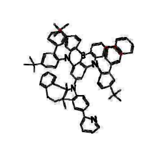 CC(C)(C)c1ccc(N2c3cc(-c4ccccc4)ccc3B3c4ccc(C(C)(C)C)cc4N(c4ccc(C(C)(C)C)cc4-c4ccccc4)c4cc(N5c6ccc(-c7ccccn7)cc6C6(C)CCc7ccccc7C56C)cc2c43)c(-c2ccccc2)c1